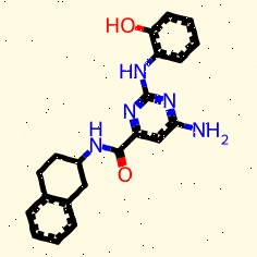 Nc1cc(C(=O)NC2CCc3ccccc3C2)nc(Nc2ccccc2O)n1